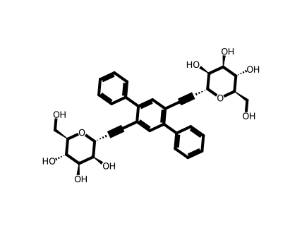 OC[C@H]1O[C@H](C#Cc2cc(-c3ccccc3)c(C#C[C@H]3O[C@H](CO)[C@@H](O)[C@H](O)[C@@H]3O)cc2-c2ccccc2)[C@@H](O)[C@@H](O)[C@@H]1O